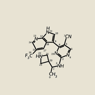 CC(Nc1ncc(C#N)c(-c2c[nH]c3ncc(C(F)(F)F)cc23)n1)C1CNC1